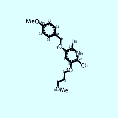 COCCCOc1cc(OCc2ccc(OC)cc2)c(I)nc1Cl